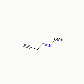 [C]#CCC=NOC